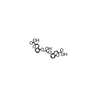 O=C(O)C1=CCc2c(OCC(O)COc3cccc4c3CC=C(C(=O)O)O4)cccc2O1